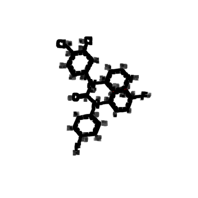 O=C(N(c1ccc(F)cc1)c1ccc(F)cc1)N(c1ccncc1)c1ccc(Cl)c(Cl)c1